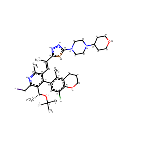 CCC(C)(CC)O[C@H](C(=O)O)c1c(CI)nc(C)c(/C=C(\C)c2nnc(N3CCN(C4CCOCC4)CC3)s2)c1-c1cc(F)c2c(c1C)CCCO2